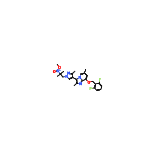 CO[N+](=O)C(C)(C)Cn1cc(-c2c(C)nc3c(OCc4c(F)cccc4F)cc(C)cn23)c(C)n1